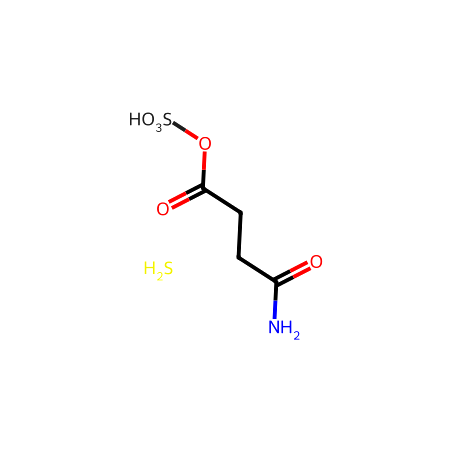 NC(=O)CCC(=O)OS(=O)(=O)O.S